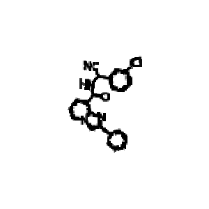 N#CC(NC(=O)c1cccn2cc(-c3ccccc3)nc12)c1cccc(Cl)c1